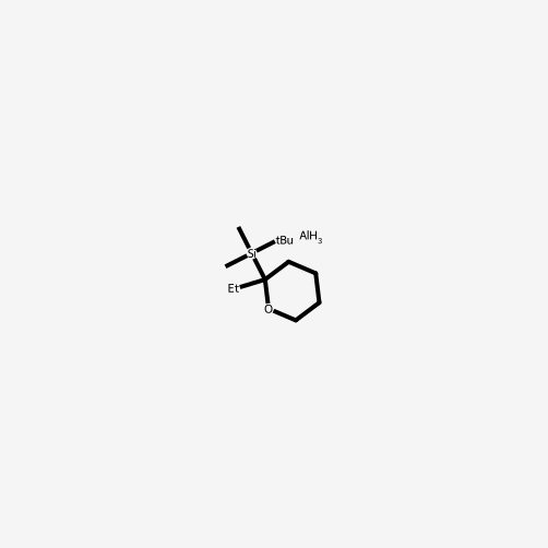 [AlH3].[CH2]CC1([Si](C)(C)C(C)(C)C)CCCCO1